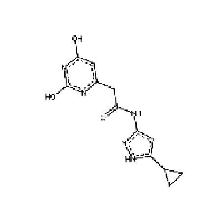 O=C(Cc1cc(O)nc(O)n1)Nc1cc(C2CC2)[nH]n1